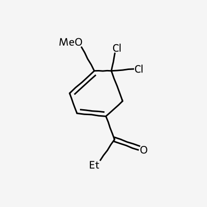 CCC(=O)C1=CC=C(OC)C(Cl)(Cl)C1